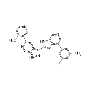 Cc1cc(F)cc(-c2cncc3[nH]c(-c4n[nH]c5cnc(-c6cnccc6C)cc45)cc23)c1